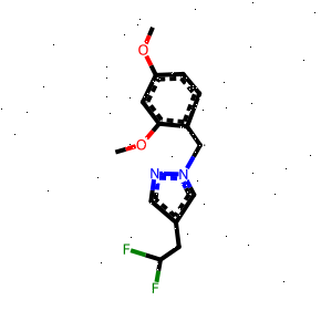 COc1ccc([CH]n2cc(CC(F)F)cn2)c(OC)c1